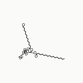 CCCCCCCCCCCCCCCC(=O)OC[C@H](COP(=O)([O-])OCC[N+](C)(C)C)OC(=O)CCCCCCCCCCCC=O